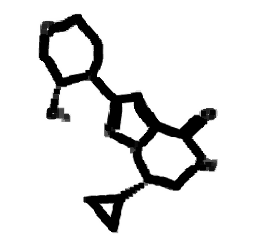 C[C@@H]1COCCN1c1cc2n(n1)[C@@H](C1CC1)CNC2=O